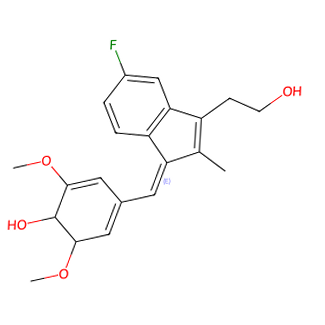 COC1=CC(/C=C2/C(C)=C(CCO)c3cc(F)ccc32)=CC(OC)C1O